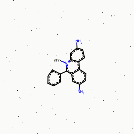 CCC[n+]1c(-c2ccccc2)c2cc(N)ccc2c2ccc(N)cc21